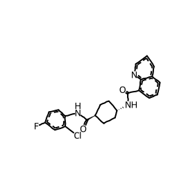 O=C(N[C@H]1CC[C@H](C(=O)Nc2ccc(F)cc2Cl)CC1)c1cccc2cccnc12